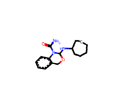 NC(=O)N1c2cc[c]cc2COC1NC1CCCCCC1